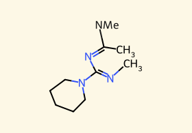 C/N=C(\N=C(/C)NC)N1CCCCC1